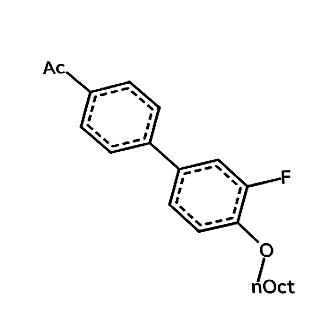 CCCCCCCCOc1ccc(-c2ccc(C(C)=O)cc2)cc1F